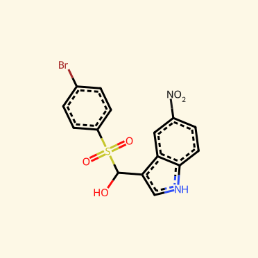 O=[N+]([O-])c1ccc2[nH]cc(C(O)S(=O)(=O)c3ccc(Br)cc3)c2c1